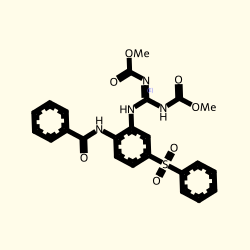 COC(=O)/N=C(/NC(=O)OC)Nc1cc(S(=O)(=O)c2ccccc2)ccc1NC(=O)c1ccccc1